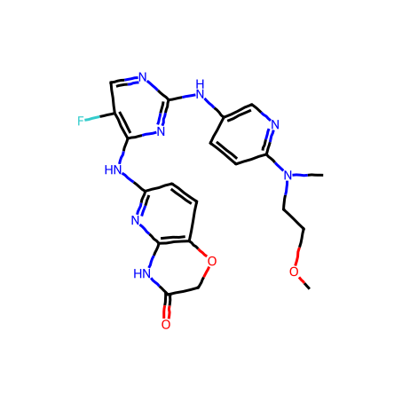 COCCN(C)c1ccc(Nc2ncc(F)c(Nc3ccc4c(n3)NC(=O)CO4)n2)cn1